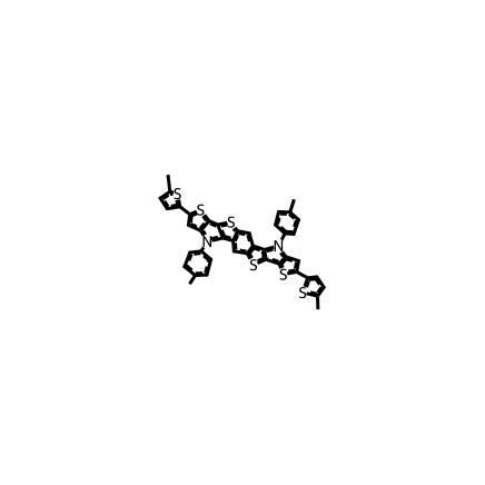 Cc1ccc(-n2c3cc(-c4ccc(C)s4)sc3c3sc4cc5c(cc4c32)sc2c3sc(-c4ccc(C)s4)cc3n(-c3ccc(C)cc3)c52)cc1